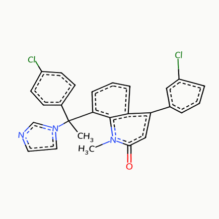 Cn1c(=O)cc(-c2cccc(Cl)c2)c2cccc(C(C)(c3ccc(Cl)cc3)n3ccnc3)c21